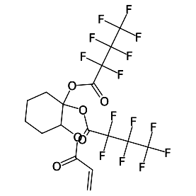 C=CC(=O)OC1CCCCC1(OC(=O)C(F)(F)C(F)(F)C(F)(F)F)OC(=O)C(F)(F)C(F)(F)C(F)(F)F